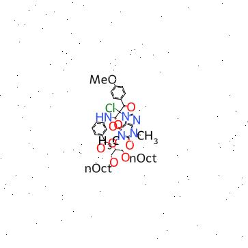 CCCCCCCCOCC(COCCCCCCCC)OC(=O)c1cccc(NC(=O)C(Cl)(C(=O)c2ccc(OC)cc2)n2cnc3c2c(=O)n(C)c(=O)n3C)c1